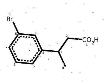 CC(CC(=O)O)c1cccc(Br)c1